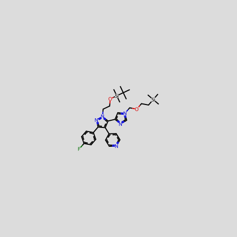 CC(C)(C)[Si](C)(C)OCCn1nc(-c2ccc(F)cc2)c(-c2ccncc2)c1-c1cn(COCC[Si](C)(C)C)cn1